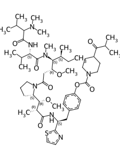 CC[C@H](C)[C@@H]([C@@H](CC(=O)N1CCC[C@H]1[C@H](OC)[C@@H](C)C(=O)N[C@@H](Cc1ccc(OC(=O)N2CCC(C(=O)C(C)C)CC2)cc1)c1nccs1)OC)N(C)C(=O)[C@@H](NC(=O)C(C(C)C)N(C)C)C(C)C